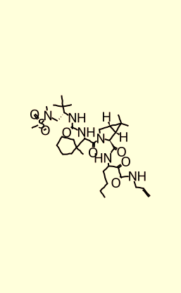 C=CCNC(=O)C(=O)C(CCCC)NC(=O)[C@@H]1[C@@H]2[C@H](CN1C(=O)[C@@H](NC(=O)N[C@H](CN(C)S(C)(=O)=O)C(C)(C)C)C1(C)CCCCC1)C2(C)C